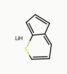 [LiH].c1csc2cccc-2c1